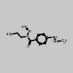 N=NN(CCN)C(=O)c1ccc(NNO)cc1